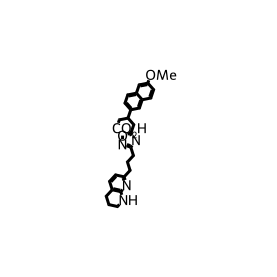 COc1ccc2cc(C(CC(=O)O)Cc3nc(CCCc4ccc5c(n4)NCCC5)no3)ccc2c1